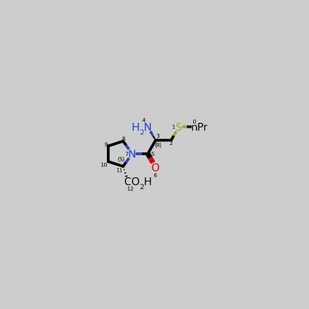 CCCSC[C@H](N)C(=O)N1CCC[C@H]1C(=O)O